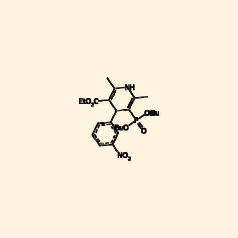 CCOC(=O)C1=C(C)NC(C)=C(P(=O)(OCC(C)C)OCC(C)C)C1c1cccc([N+](=O)[O-])c1